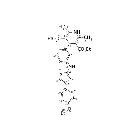 CCOC(=O)C1=C(C)NC(C)=C(C(=O)OCC)C1c1cccc(Nc2nc(-c3ccc(OCC)cc3)cs2)c1